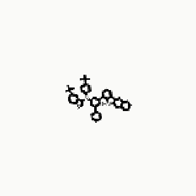 CC(C)(C)c1ccc(N(c2cc(-c3ccccc3)cc(-c3cccc4c3[nH]c3cc5ccccc5cc34)c2)c2csc3ccc(C(C)(C)C)cc23)cc1